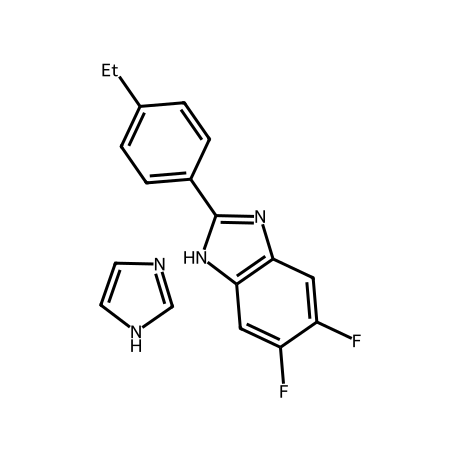 CCc1ccc(-c2nc3cc(F)c(F)cc3[nH]2)cc1.c1c[nH]cn1